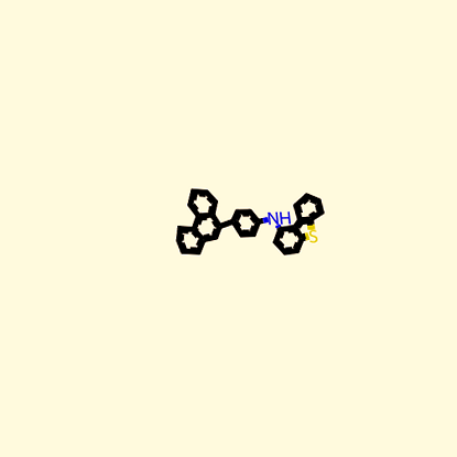 c1ccc2c(c1)cc(-c1ccc(Nc3cccc4sc5ccccc5c34)cc1)c1ccccc12